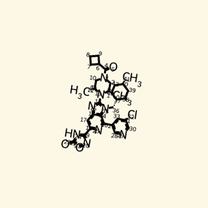 C[C@@H]1CN(C(=O)C2CCC2)C[C@@H](C)N1c1nc2cc(-c3noc(=O)[nH]3)nc(-c3cncc(Cl)c3)c2n1C[C@H]1CC[C@H](C)CC1